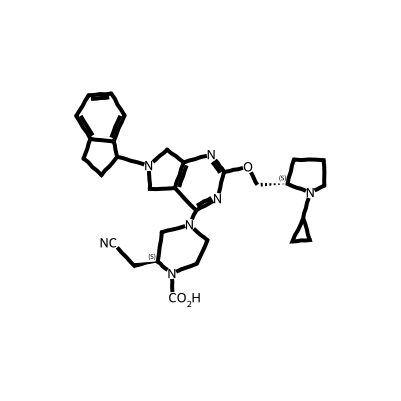 N#CC[C@H]1CN(c2nc(OC[C@@H]3CCCN3C3CC3)nc3c2CN(C2CCc4ccccc42)C3)CCN1C(=O)O